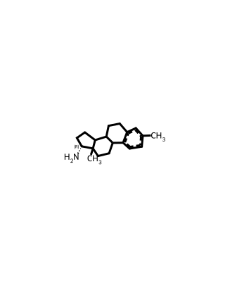 Cc1ccc2c(c1)CCC1C2CCC2(C)C1CC[C@H]2N